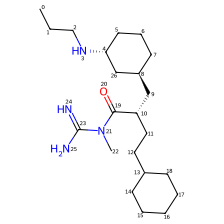 CCCN[C@@H]1CCC[C@@H](C[C@H](CCC2CCCCC2)C(=O)N(C)C(=N)N)C1